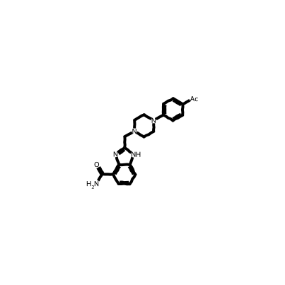 CC(=O)c1ccc(N2CCN(Cc3nc4c(C(N)=O)cccc4[nH]3)CC2)cc1